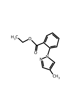 CCOC(=O)c1ccccc1-n1cc(C)cn1